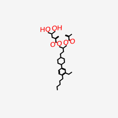 C=C(C)C(=O)OCC(CCC1CCC(c2ccc(CCCCC)c(CC)c2)CC1)COC(=O)C(=C)CC(CO)CO